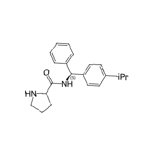 CC(C)c1ccc([C@@H](NC(=O)C2CCCN2)c2ccccc2)cc1